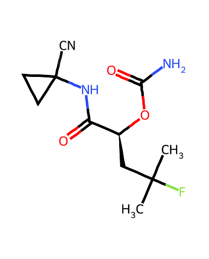 CC(C)(F)C[C@H](OC(N)=O)C(=O)NC1(C#N)CC1